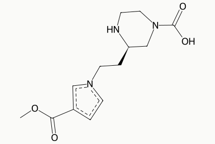 COC(=O)c1ccn(CC[C@@H]2CN(C(=O)O)CCN2)c1